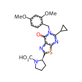 COc1ccc(Cn2c(C3CC3)nc3sc([C@H]4CCCN4C(=O)O)nc3c2=O)c(OC)c1